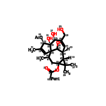 CCCCCC(=O)O[C@@]12C[C@@H](C)[C@]34C=C(C)[C@H](OC(C)=O)[C@@]3(O)[C@H](O)C(CO)=C[C@H](C4O)[C@@H]1C2(C)C